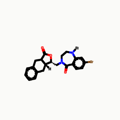 CCN1CCN(C[C@H]2OC(=O)C3Cc4ccccc4C[C@H]32)C(=O)c2ccc(Br)cc21